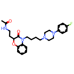 CC(=O)NCCC1Oc2ccccc2N(CCCCN2CCN(c3ccc(F)cc3)CC2)C1=O